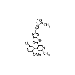 COc1cnc(Cl)cc1-c1cc(C)ncc1C(=O)Nc1nnc(SC[C@H]2CCO[C@H]2C)s1